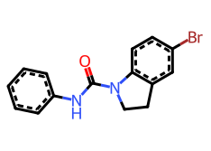 O=C(Nc1ccccc1)N1CCc2cc(Br)ccc21